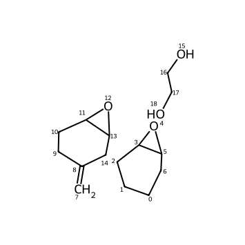 C1CCC2OC2C1.C=C1CCC2OC2C1.OCCO